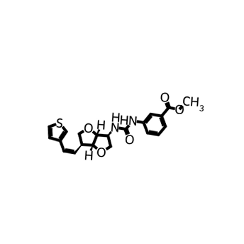 COC(=O)c1cccc(NC(=O)N[C@H]2CO[C@H]3[C@@H]2OC[C@@H]3/C=C\c2ccsc2)c1